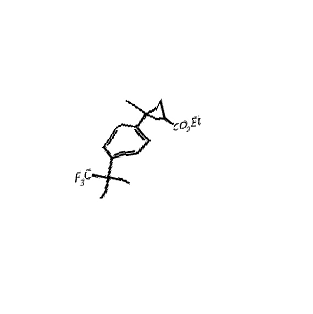 CCOC(=O)C1CC1(C)c1ccc(C(C)(C)C(F)(F)F)cc1